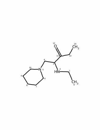 CCNC(CN1CCCCC1)C(=O)CC